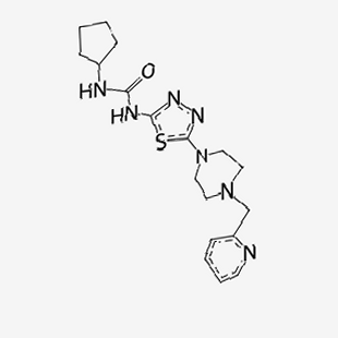 O=C(Nc1nnc(N2CCN(Cc3ccccn3)CC2)s1)NC1CCCC1